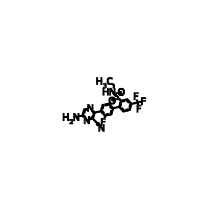 CCNS(=O)(=O)c1cc(C(F)(F)F)ccc1-c1ccc(-c2ncc(N)nc2C#N)c(F)c1